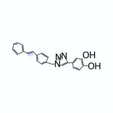 Oc1ccc(-c2cn(Cc3ccc(/C=C/c4ccccc4)cc3)nn2)cc1O